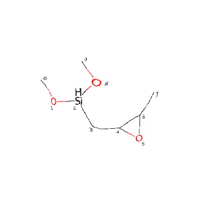 CO[SiH](CC1OC1C)OC